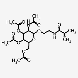 C=C(C)C(=O)NCCOC1OC(COC(C)=O)C(OC(C)=O)C(OC(C)=O)C1NC(C)=O